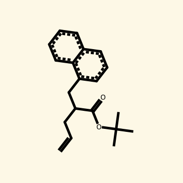 C=CCC(Cc1cccc2ccccc12)C(=O)OC(C)(C)C